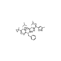 COC[C@H](NC(=O)c1cc(C)no1)C(=O)N[C@@H](Cc1ccccc1)C(=O)N[C@@H](CC(C)C)C(=O)C1(C)CC1